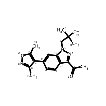 CC(=O)c1nn(CC(C)(C)O)c2cc(-c3c(C)noc3C)ccc12